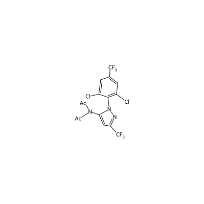 CC(=O)N(C(C)=O)c1cc(C(F)(F)F)nn1-c1c(Cl)cc(C(F)(F)F)cc1Cl